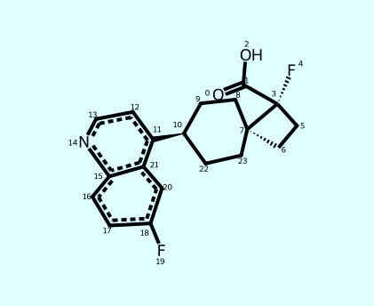 O=C(O)[C@@]1(F)CC[C@]12CC[C@H](c1ccnc3ccc(F)cc31)CC2